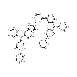 c1ccc(-c2ccc(N(c3ccccc3)c3cccc(-c4cccc(-c5nc6ccc(N(c7ccccc7)c7ccc(-c8ccccc8)cc7)cc6o5)c4)c3)cc2)cc1